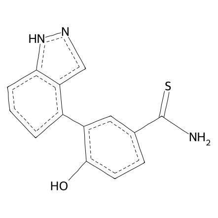 NC(=S)c1ccc(O)c(-c2cccc3[nH]ncc23)c1